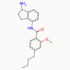 CCCCc1ccc(C(=O)Nc2cccc3c2CCC3N)c(OC)c1